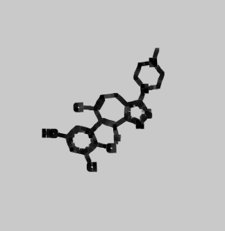 CN1CCN(c2snc3c2CC=C(Cl)C(c2cc(O)cc(Cl)c2Cl)=C3F)CC1